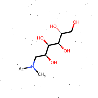 CC(=O)N(C)C[C@H](O)[C@@H](O)[C@H](O)[C@H](O)CO